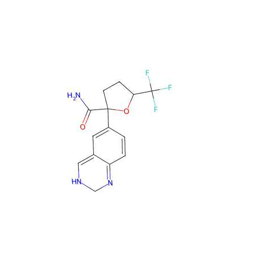 NC(=O)C1(c2ccc3c(c2)=CNCN=3)CCC(C(F)(F)F)O1